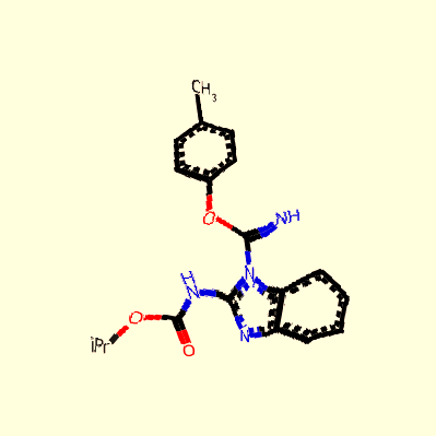 Cc1ccc(OC(=N)n2c(NC(=O)OC(C)C)nc3ccccc32)cc1